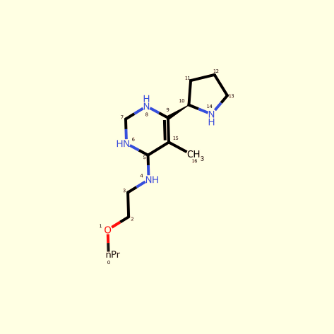 CCCOCCNC1NCNC([C@H]2CCCN2)=C1C